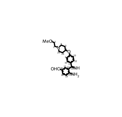 COCCN1CCC(Oc2ccc(C(=N)c3cc(C=O)ccc3N)cc2)CC1